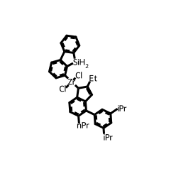 CCCc1ccc2c(c1-c1cc(C(C)C)cc(C(C)C)c1)C=C(CC)[CH]2[Zr]([Cl])([Cl])[c]1cccc2c1[SiH2]c1ccccc1-2